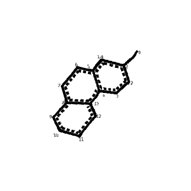 Cc1[c]cc2c(ccc3ccccc32)c1